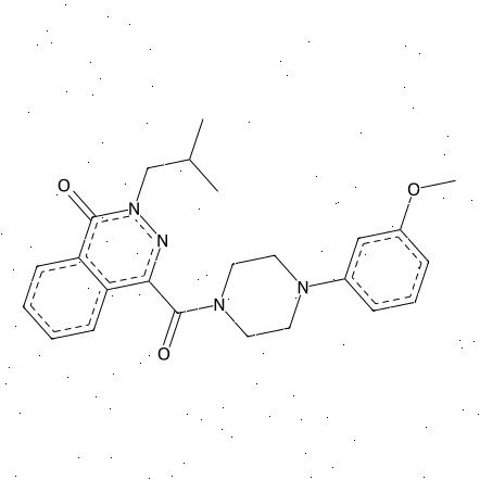 COc1cccc(N2CCN(C(=O)c3nn(CC(C)C)c(=O)c4ccccc34)CC2)c1